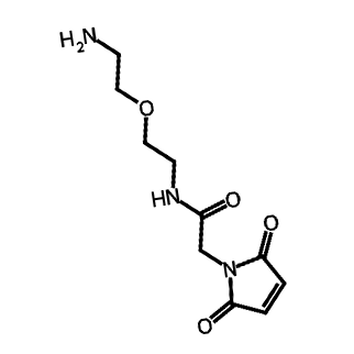 NCCOCCNC(=O)CN1C(=O)C=CC1=O